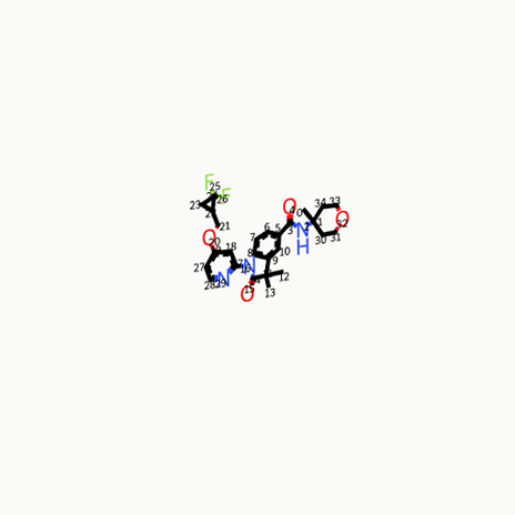 CC1(NC(=O)c2ccc3c(c2)C(C)(C)C(=O)N3c2cc(OCC3CC3(F)F)ccn2)CCOCC1